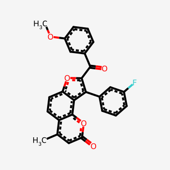 COc1cccc(C(=O)c2oc3ccc4c(C)cc(=O)oc4c3c2-c2cccc(F)c2)c1